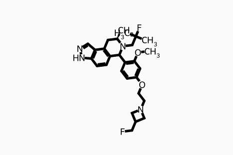 COc1cc(OCCN2CC(CF)C2)ccc1C1c2ccc3[nH]ncc3c2C[C@@H](C)N1CC(C)(C)F